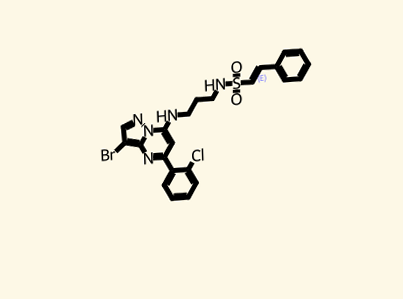 O=S(=O)(/C=C/c1ccccc1)NCCCNc1cc(-c2ccccc2Cl)nc2c(Br)cnn12